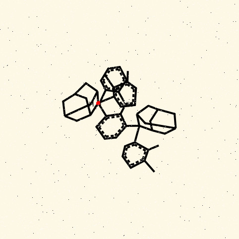 Cc1cccc(C2(c3cccc(C4(c5cccc(C)c5C)C5CC6CC(C5)CC4C6)c3Nc3ccccc3N)C3CC4CC(C3)CC2C4)c1C